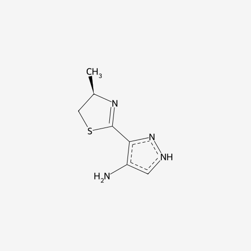 C[C@@H]1CSC(c2n[nH]cc2N)=N1